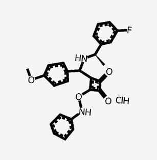 COc1ccc(C(N[C@H](C)c2cccc(F)c2)c2c(ONc3ccccc3)c(=O)c2=O)cc1.Cl